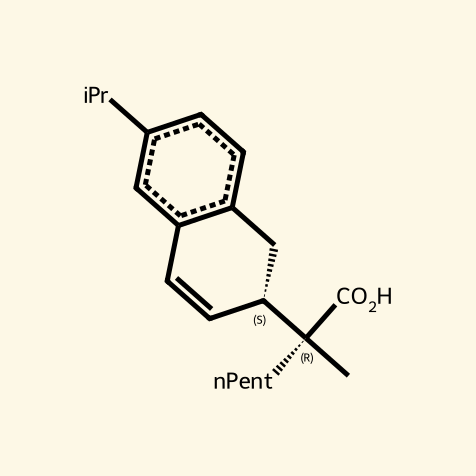 CCCCC[C@@](C)(C(=O)O)[C@@H]1C=Cc2cc(C(C)C)ccc2C1